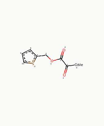 COC(=O)C(=O)OCc1cccs1